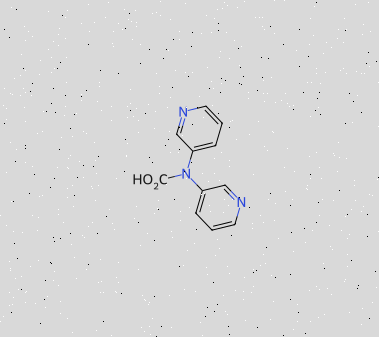 O=C(O)N(c1cccnc1)c1cccnc1